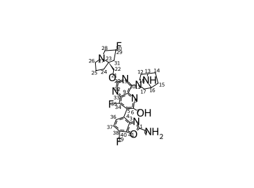 Nc1nc2c(-c3c(O)nc4c(N5CC6CCC(C5)N6)nc(OC[C@@]56CCCN5C[C@H](F)C6)nc4c3F)ccc(F)c2o1